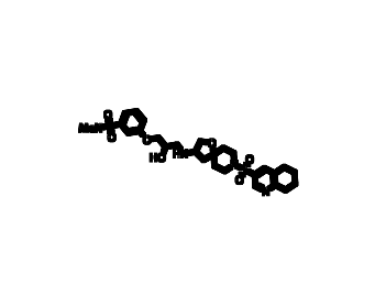 CNS(=O)(=O)c1cccc(OCC(O)CNC2COC3(CCN(S(=O)(=O)c4cnc5c(c4)CCCC5)CC3)C2)c1